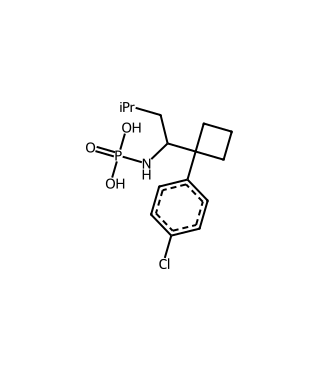 CC(C)CC(NP(=O)(O)O)C1(c2ccc(Cl)cc2)CCC1